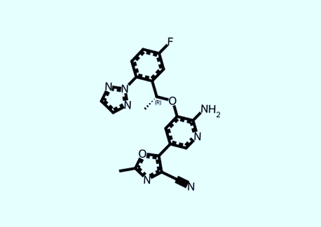 Cc1nc(C#N)c(-c2cnc(N)c(O[C@H](C)c3cc(F)ccc3-n3nccn3)c2)o1